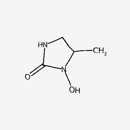 CC1CNC(=O)N1O